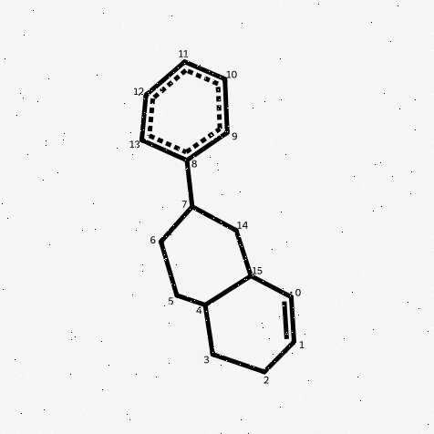 [C]1=CCCC2CCC(c3ccccc3)CC12